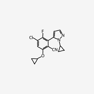 N#Cc1c(OC2CC2)cc(Cl)c(F)c1-c1ccnn1C1CC1